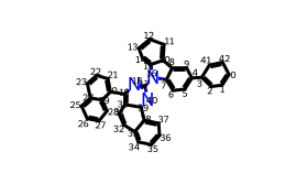 c1ccc(-c2ccc3c(c2)c2ccccc2n3-c2nc(-c3cccc4ccccc34)c3ccc4ccccc4c3n2)cc1